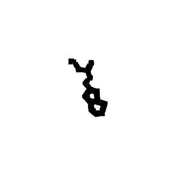 CC(C)OC(=O)OCc1cc2ccncc2s1